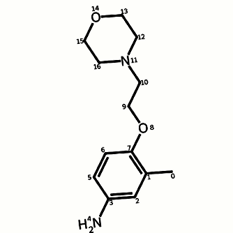 Cc1cc(N)ccc1OCCN1CCOCC1